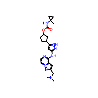 CN(C)Cc1cc2c(Nc3cc(C4CCC(OC(=O)NC5(C)CC5)C4)[nH]n3)nccn2n1